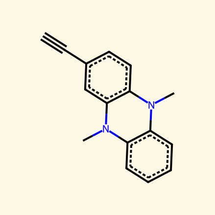 C#Cc1ccc2c(c1)N(C)c1ccccc1N2C